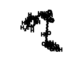 CC12CNCCNCC(NC(=O)CCCC(=O)N[C@H](Cc3ccccc3)C(=O)N[C@H](Cc3ccccc3)C(=O)NCCCCCCCC(=O)NCCCCC(NC(=O)NC(CCC(=O)O)C(=O)O)C(=O)O)(CNCCNC1)CNCCNC2